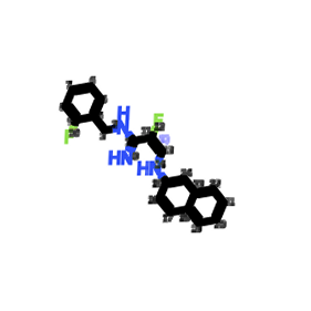 N=C(NCc1ccccc1F)/C(F)=C\Nc1ccc2ccccc2c1